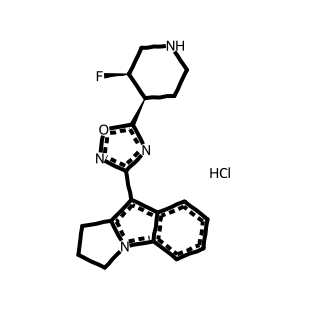 Cl.F[C@H]1CNCC[C@H]1c1nc(-c2c3n(c4ccccc24)CCC3)no1